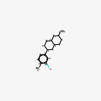 CCCCC1CCC2CC(c3ccc(C#N)c(F)c3)CCC2C1